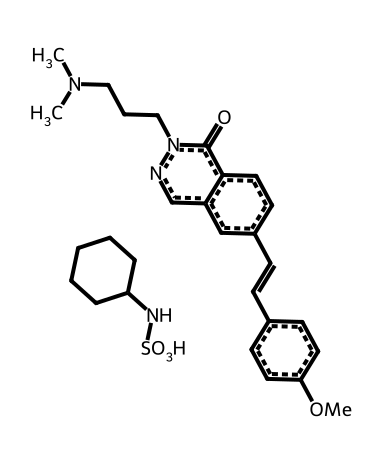 COc1ccc(C=Cc2ccc3c(=O)n(CCCN(C)C)ncc3c2)cc1.O=S(=O)(O)NC1CCCCC1